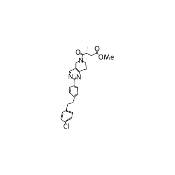 COC(=O)C[C@@H](C)C(=O)N1CCc2nc(-c3ccc(CCc4ccc(Cl)cc4)cc3)ncc2C1